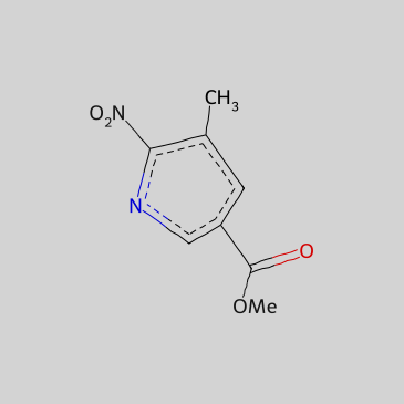 COC(=O)c1cnc([N+](=O)[O-])c(C)c1